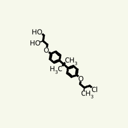 C[C@H](CCl)COc1ccc(C(C)(C)c2ccc(OC[C@@H](O)CO)cc2)cc1